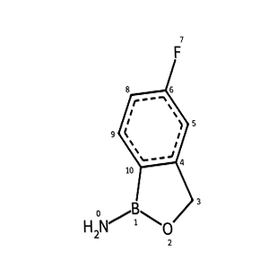 NB1OCc2cc(F)ccc21